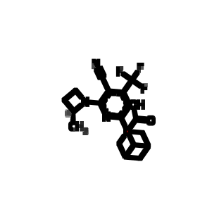 C[C@H]1CCN1c1nc(N2CC3CC(C2)C3CC(=O)O)cc(C(F)(F)F)c1C#N